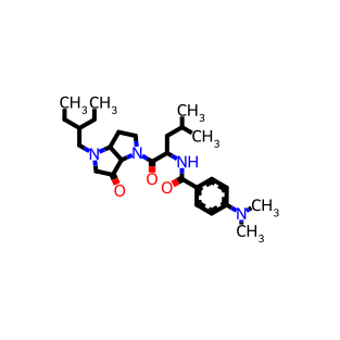 CCC(CC)CN1CC(=O)C2C1CCN2C(=O)C(CC(C)C)NC(=O)c1ccc(N(C)C)cc1